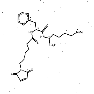 CNCCCC[C@H](NC(=O)[C@H](Cc1ccccc1)NC(=O)CCCCCN1C(=O)C=CC1=O)C(=O)O